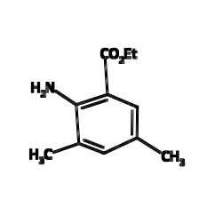 CCOC(=O)c1cc(C)cc(C)c1N